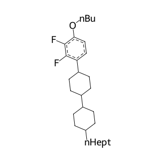 CCCCCCCC1CCC(C2CCC(c3ccc(OCCCC)c(F)c3F)CC2)CC1